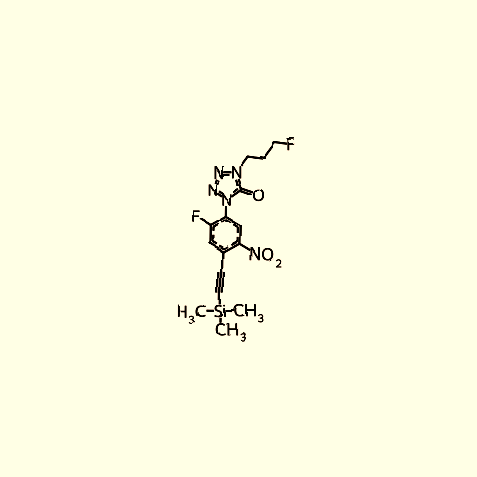 C[Si](C)(C)C#Cc1cc(F)c(-n2nnn(CCCF)c2=O)cc1[N+](=O)[O-]